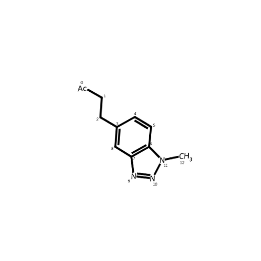 CC(=O)CCc1ccc2c(c1)nnn2C